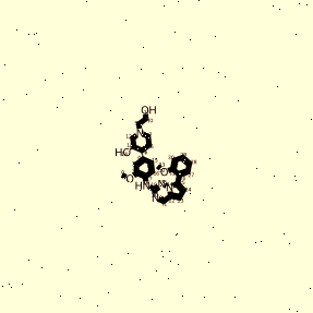 COc1cc([C@H]2CCN(CCO)C[C@H]2O)ccc1Nc1ncc2ccc(-c3ccccc3OC)n2n1